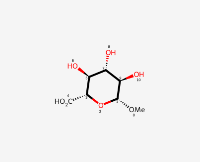 CO[C@@H]1O[C@H](C(=O)O)[C@@H](O)[C@H](O)[C@H]1O